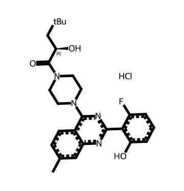 Cc1ccc2c(N3CCN(C(=O)[C@H](O)CC(C)(C)C)CC3)nc(-c3c(O)cccc3F)nc2c1.Cl